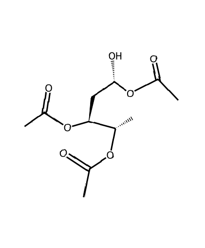 CC(=O)O[C@@H](C)[C@H](C[C@H](O)OC(C)=O)OC(C)=O